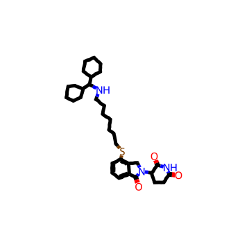 O=C1CCC(N2Cc3c(SCCCCCCCNC(C4CCCCC4)C4CCCCC4)cccc3C2=O)C(=O)N1